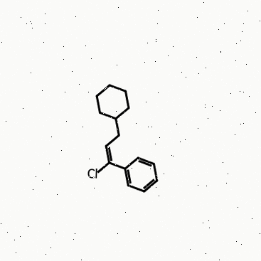 Cl/C(=C/CC1CCCCC1)c1ccccc1